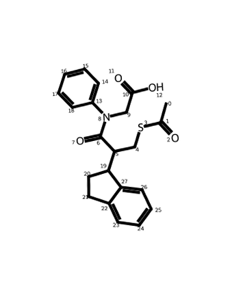 CC(=O)SCC(C(=O)N(CC(=O)O)c1ccccc1)C1CCc2ccccc21